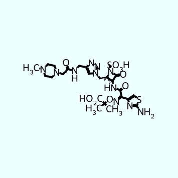 CN1CCN(CC(=O)NCc2cn(C[C@@H]3[C@H](NC(=O)C(=NOC(C)(C)C(=O)O)c4csc(N)n4)C(=O)N3S(=O)(=O)O)nn2)CC1